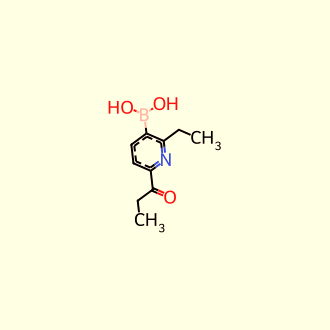 CCC(=O)c1ccc(B(O)O)c(CC)n1